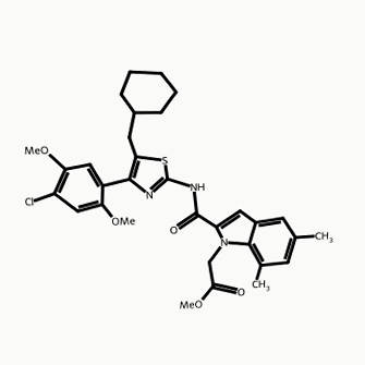 COC(=O)Cn1c(C(=O)Nc2nc(-c3cc(OC)c(Cl)cc3OC)c(CC3CCCCC3)s2)cc2cc(C)cc(C)c21